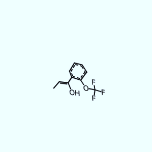 CC=C(O)c1ccccc1OC(F)(F)F